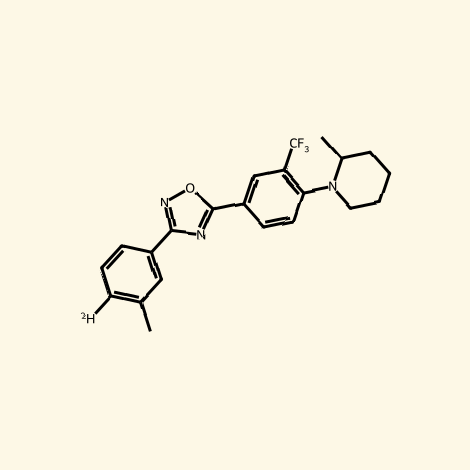 [2H]c1ccc(-c2noc(-c3ccc(N4CCCCC4C)c(C(F)(F)F)c3)n2)cc1C